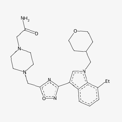 CCc1cccc2c(-c3noc(CN4CCN(CC(N)=O)CC4)n3)cn(CC3CCOCC3)c12